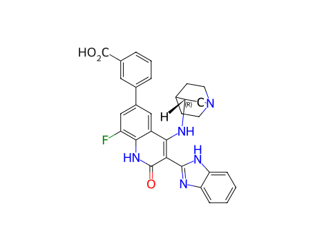 O=C(O)c1cccc(-c2cc(F)c3[nH]c(=O)c(-c4nc5ccccc5[nH]4)c(N[C@H]4CN5CCC4CC5)c3c2)c1